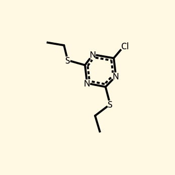 CCSc1nc(Cl)nc(SCC)n1